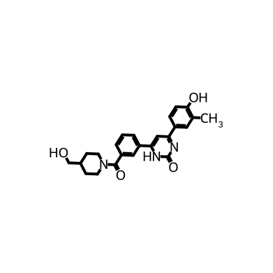 Cc1cc(-c2cc(-c3cccc(C(=O)N4CCC(CO)CC4)c3)[nH]c(=O)n2)ccc1O